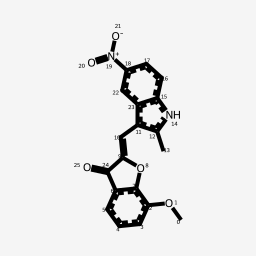 COc1cccc2c1O/C(=C\c1c(C)[nH]c3ccc([N+](=O)[O-])cc13)C2=O